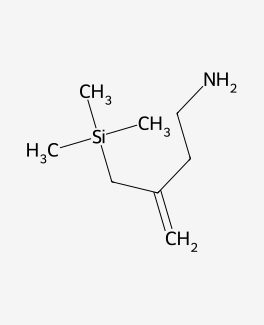 C=C(CCN)C[Si](C)(C)C